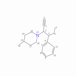 C#CC(C(CC)c1ccccc1)N1CCC(C)CC1